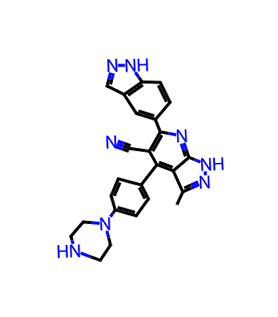 Cc1n[nH]c2nc(-c3ccc4[nH]ncc4c3)c(C#N)c(-c3ccc(N4CCNCC4)cc3)c12